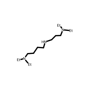 CCN(CC)CCCCNCCCN(CC)CC